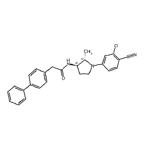 C[C@H]1[C@H](NC(=O)Cc2ccc(-c3ccccc3)cc2)CCN1c1ccc(C#N)c(Cl)c1